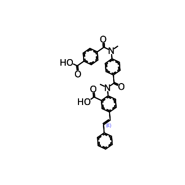 CN(C(=O)c1ccc(C(=O)O)cc1)c1ccc(C(=O)N(C)c2ccc(/C=C/c3ccccc3)cc2C(=O)O)cc1